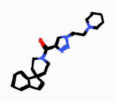 O=C(c1cn(CCN2CCCCC2)nn1)N1CCC2(C=Cc3ccccc32)CC1